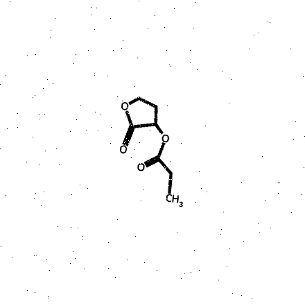 CCC(=O)OC1CCOC1=O